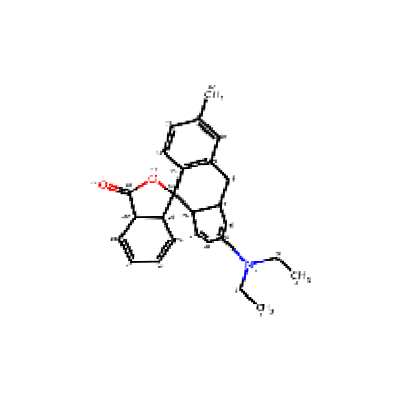 CCN(CC)C1=CC2Cc3cc(C)ccc3C3(OC(=O)C4C=CC=CC43)C2C=C1